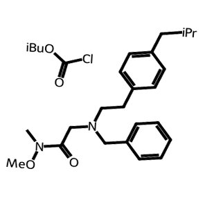 CC(C)COC(=O)Cl.CON(C)C(=O)CN(CCc1ccc(CC(C)C)cc1)Cc1ccccc1